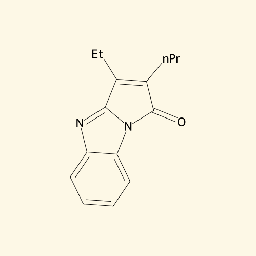 CCCC1=C(CC)c2nc3ccccc3n2C1=O